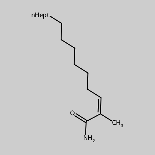 CCCCCCCCCCCCCC=C(C)C(N)=O